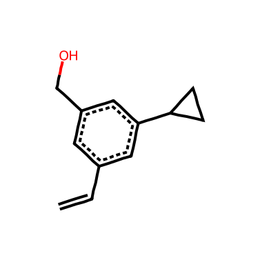 C=Cc1cc(CO)cc(C2CC2)c1